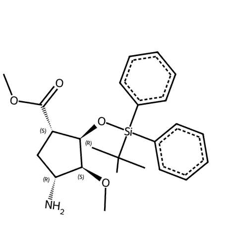 COC(=O)[C@H]1C[C@@H](N)[C@H](OC)[C@@H]1O[Si](c1ccccc1)(c1ccccc1)C(C)(C)C